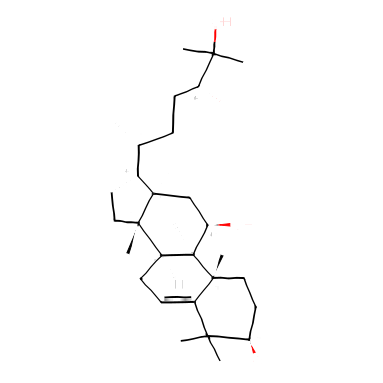 C[C@H](CC[C@@H](O)C(C)(C)O)[C@H]1CC[C@@]2(C)[C@@H]3CC=C4[C@@H](CC[C@@H](O)C4(C)C)[C@]3(C)[C@H](O)C[C@]12C